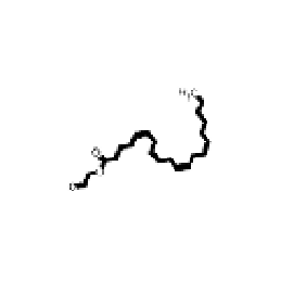 CCCCC/C=C\C/C=C\C/C=C\C/C=C\CCCC(=O)OCC=O